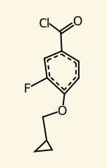 O=C(Cl)c1ccc(OCC2CC2)c(F)c1